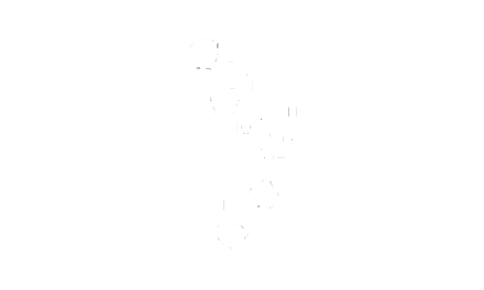 O=C(C(O)(O)Cc1cccc(-c2ccccc2)c1C(F)(F)F)C(O)(O)Cc1cccc(-c2ccccc2)c1C(F)(F)F